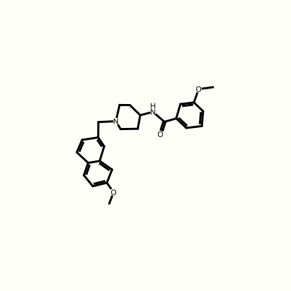 COc1cccc(C(=O)NC2CCN(Cc3ccc4ccc(OC)cc4c3)CC2)c1